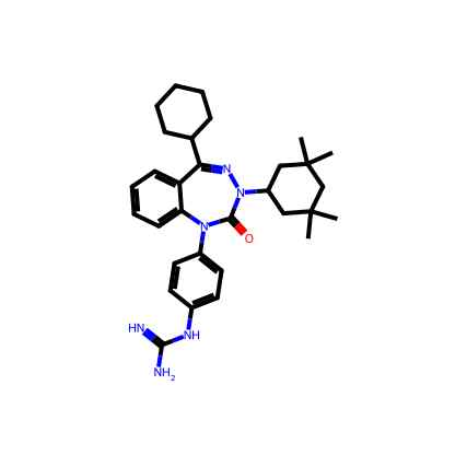 CC1(C)CC(N2N=C(C3CCCCC3)c3ccccc3N(c3ccc(NC(=N)N)cc3)C2=O)CC(C)(C)C1